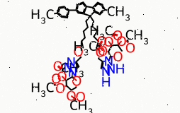 CC(=O)OC1COC(N2NNC=C2COCCCCCCC2(CCCCCCOCc3cn(C4OCC(OC(C)=O)C(OC(C)=O)C4OC(C)=O)nn3)c3cc(C)ccc3-c3ccc(-c4ccc(C)cc4)cc32)C(OC(C)=O)C1OC(C)=O